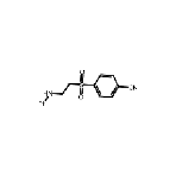 CCNCCS(=O)(=O)c1ccc(C#N)cc1